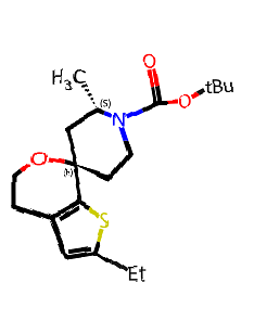 CCc1cc2c(s1)[C@]1(CCN(C(=O)OC(C)(C)C)[C@@H](C)C1)OCC2